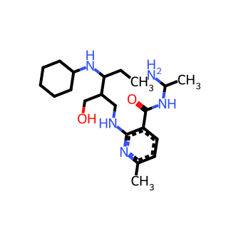 CCC(NC1CCCCC1)C(CO)CNc1nc(C)ccc1C(=O)NC(C)N